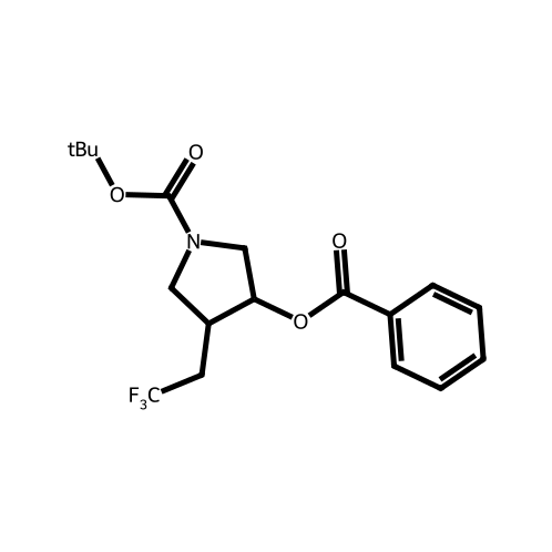 CC(C)(C)OC(=O)N1CC(CC(F)(F)F)C(OC(=O)c2ccccc2)C1